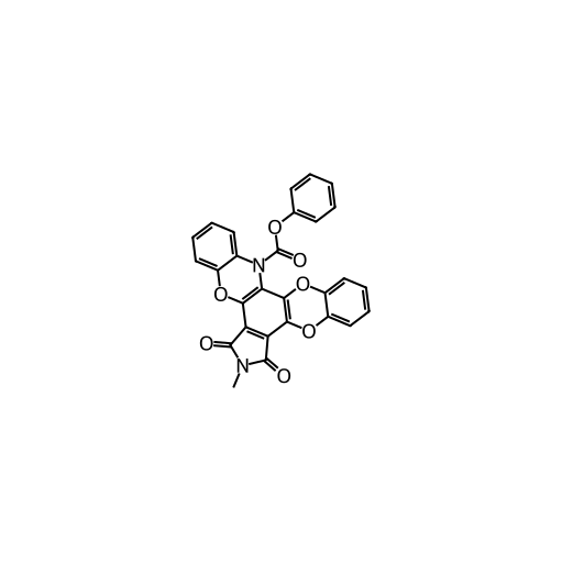 Cn1c(=O)c2c3oc4ccccc4oc3c3c(oc4ccccc4n3C(=O)Oc3ccccc3)c2c1=O